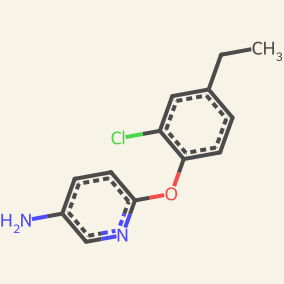 CCc1ccc(Oc2ccc(N)cn2)c(Cl)c1